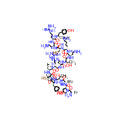 CC[C@H](C)[C@H](NC(=O)[C@@H]1C[C@@H](O)CN1C(=O)[C@@H](N)C(C)C)C(=O)N[C@H](C(=O)N[C@@H](Cc1ccc(O)cc1)C(=O)N[C@H](C(=O)N[C@@H](C)C(=O)N[C@@H](CCCNC(=N)N)C(=O)N[C@@H](CCN)C(=O)N[C@H](C(=O)N[C@H](CCN)C(=O)N[C@@H](CCCCN)C(=O)N[C@@H](CS)C(=O)N[C@@H](CCN)C(=O)N[C@@H](CCCNC(=N)N)C(=O)N[C@@H](Cc1ccc(O)cc1)C(=O)O)[C@@H](C)O)C(C)(C)S)[C@@H](C)O